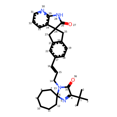 CC(C)(C)C1=NC2(CCCCCC2)N(C/C=C/c2ccc3c(c2)CC2(C3)C(=O)Nc3ncccc32)C1=O